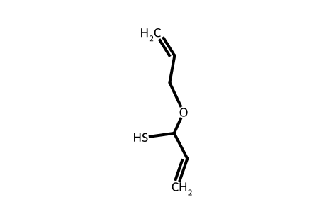 C=CCOC(S)C=C